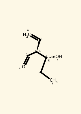 C=C[C@H]([C]=O)[C@H](O)CC